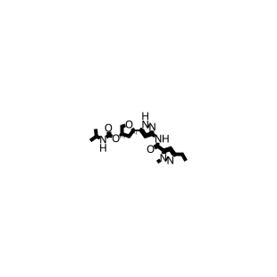 CCc1cc(C(=O)Nc2cc([C@H]3C[C@@H](OC(=O)NC(C)C)CO3)[nH]n2)n(C)n1